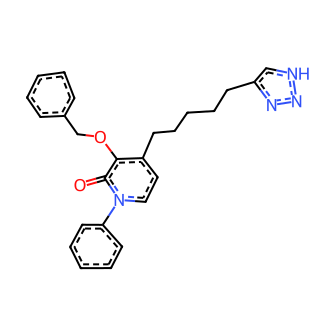 O=c1c(OCc2ccccc2)c(CCCCCc2c[nH]nn2)ccn1-c1ccccc1